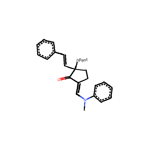 CCCCCC1(C=Cc2ccccc2)CCC(=CN(C)c2ccccc2)C1=O